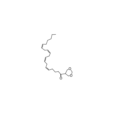 CCCCC/C=C\C/C=C\C/C=C\C/C=C\CCCC(=O)C1COCOC1